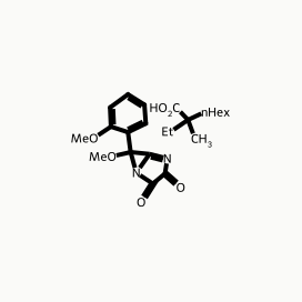 CCCCCCC(C)(CC)C(=O)O.COc1ccccc1C1(OC)C2=NC(=O)C(=O)N21